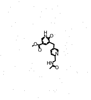 COC(=O)c1c[nH]c(=O)c(Cc2ccc(CNC(C)=O)nc2)c1